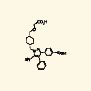 CCCc1c(-c2ccccc2)c(-c2ccc(OC)cc2)nn1C[C@H]1CC[C@@H](COCC(=O)O)CC1